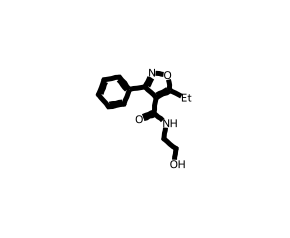 CCc1onc(-c2ccccc2)c1C(=O)NCCO